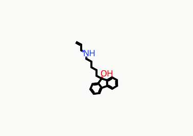 C=CCNCCCCCC1(O)c2ccccc2-c2ccccc21